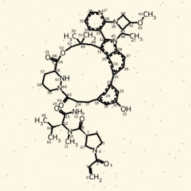 C=CC(=O)N1CC[C@H](C(=O)N(C)[C@H](C(=O)N[C@H]2Cc3cc(O)cc(c3)-c3ccc4c(c3)c(c(-c3cccnc3N3CC(OC)C3)n4CC)CC(C)(C)COC(=O)[C@@H]3CCCN(N3)C2=O)C(C)C)C1